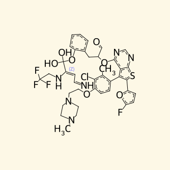 Cc1c(-c2c(-c3ccc(F)o3)sc3ncnc(OC(C=O)Cc4ccccc4OC(O)(O)/C(=C/C=N)NCC(F)(F)F)c23)ccc(OCCN2CCN(C)CC2)c1Cl